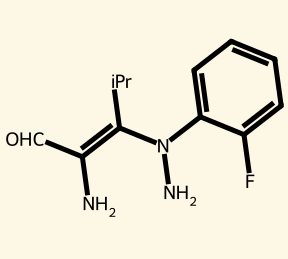 CC(C)/C(=C(/N)C=O)N(N)c1ccccc1F